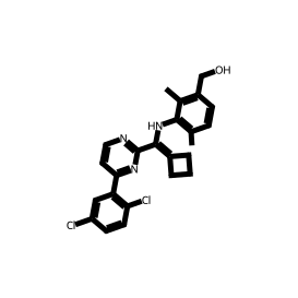 Cc1ccc(CO)c(C)c1NC(=C1CCC1)c1nccc(-c2cc(Cl)ccc2Cl)n1